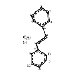 C(=Cc1ccccc1)c1ccccc1.[Sn]